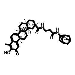 CC1=C(O)C(=O)C=C2C1=CC=C1[C@@]2(C)CC[C@@]2(C)[C@@H]3C[C@](C)(C(=O)NCCC(=O)NC45CC6CC(CC4C6)C5)CC[C@]3(C)CC[C@]12C